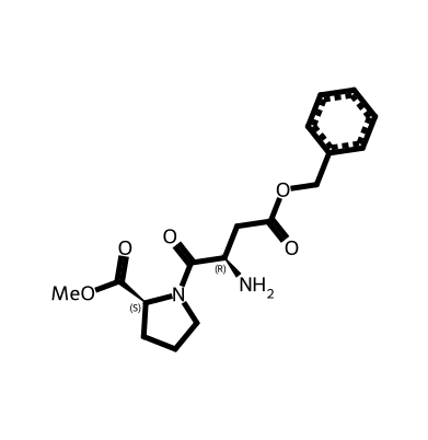 COC(=O)[C@@H]1CCCN1C(=O)[C@H](N)CC(=O)OCc1ccccc1